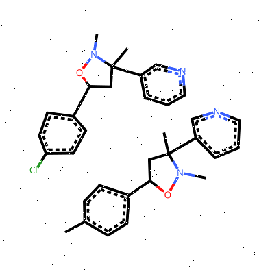 CN1OC(c2ccc(Cl)cc2)CC1(C)c1cccnc1.Cc1ccc(C2CC(C)(c3cccnc3)N(C)O2)cc1